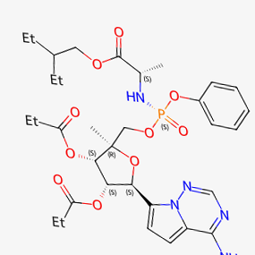 CCC(=O)O[C@H]1[C@H](c2ccc3c(N)ncnn23)O[C@](C)(CO[P@@](=O)(N[C@@H](C)C(=O)OCC(CC)CC)Oc2ccccc2)[C@H]1OC(=O)CC